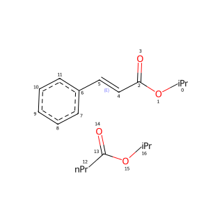 CC(C)OC(=O)/C=C/c1ccccc1.CCCC(=O)OC(C)C